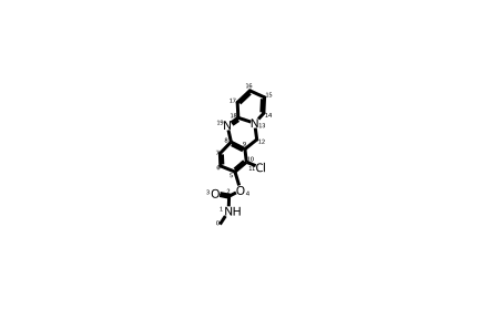 CNC(=O)Oc1ccc2c(c1Cl)CN1C=CC=CC1=N2